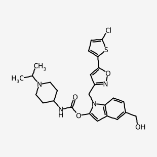 CC(C)N1CCC(NC(=O)Oc2cc3cc(CO)ccc3n2Cc2cc(-c3ccc(Cl)s3)on2)CC1